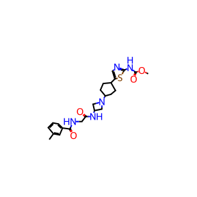 COC(=O)Nc1ncc(C2CCC(N3CC(NC(=O)CNC(=O)c4cccc(C)c4)C3)CC2)s1